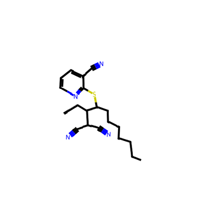 CCCCCCCC(Sc1ncccc1C#N)C(CC)C(C#N)C#N